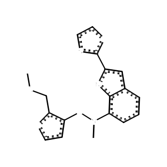 CSCc1sccc1SN(C)c1cccc2cc(-c3nccs3)[nH]c12